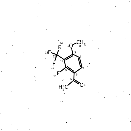 COc1ccc(C(C)=O)c(F)c1C(F)(F)F